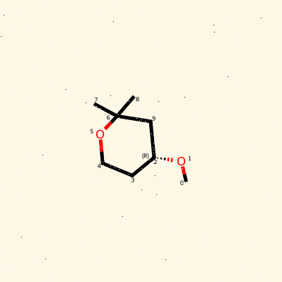 CO[C@@H]1CCOC(C)(C)C1